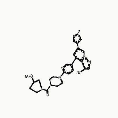 COC1CCN(C(=O)N2CCN(c3ccc(-c4cc(-c5cnn(C)c5)cn5ncc(C#N)c45)cn3)CC2)C1